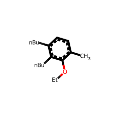 CCCCc1ccc(C)c(OCC)c1CCCC